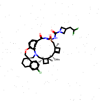 CO[C@H]1C2=CC[C@@H]2CS(=O)(NC(=O)N2CC(CC(F)F)C2)=NC(=O)c2ccc3c(c2)N(C[C@@H]2CC[C@H]21)C[C@@]1(CCCc2cc(Cl)ccc21)CO3